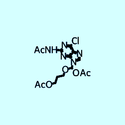 CC(=O)Nc1nc(Cl)c2ncn(C(OCCCOC(C)=O)OC(C)=O)c2n1